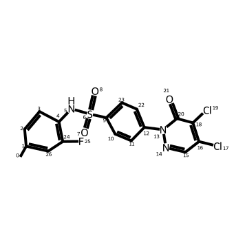 Cc1ccc(NS(=O)(=O)c2ccc(-n3ncc(Cl)c(Cl)c3=O)cc2)c(F)c1